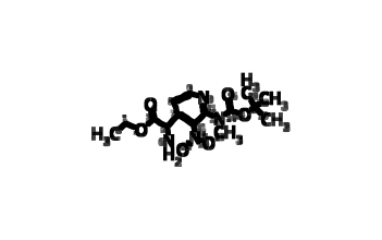 CCOC(=O)C(N)c1ccnc(N(C)C(=O)OC(C)(C)C)c1[N+](=O)[O-]